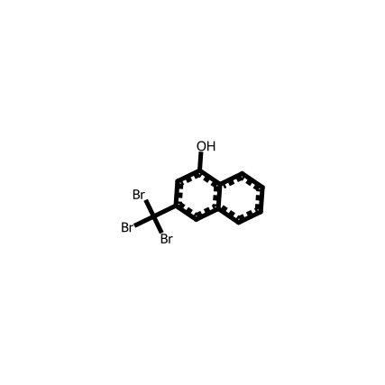 Oc1cc(C(Br)(Br)Br)cc2ccccc12